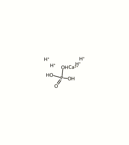 O=P(O)(O)O.[Ca+2].[H+].[H+].[H+].[H+]